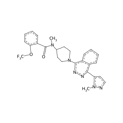 CN(C(=O)c1ccccc1OC(F)(F)F)C1CCN(c2nnc(-c3ccnn3C)c3ccccc23)CC1